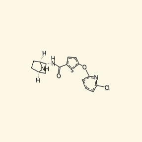 O=C(N[C@@H]1C[C@H]2CC[C@@H]1N2)c1ccc(Oc2cccc(Cl)n2)s1